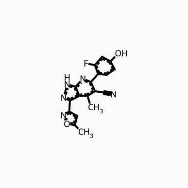 Cc1cc(-c2n[nH]c3nc(-c4ccc(O)cc4F)c(C#N)c(C)c23)no1